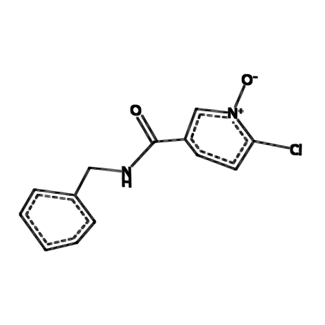 O=C(NCc1ccccc1)c1ccc(Cl)[n+]([O-])c1